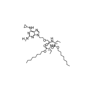 CCCCCCCCOC(=O)[C@H](CC)NP(=O)(COCCn1cnc2c(NC3CC3)nc(N)nc21)N[C@@H](CC)C(=O)OCCCCCCCC